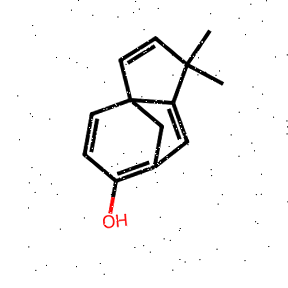 CC1(C)C=CC23C=CC(O)=C(C=C12)C3